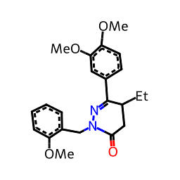 CCC1CC(=O)N(Cc2ccccc2OC)N=C1c1ccc(OC)c(OC)c1